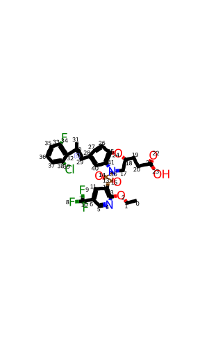 CCOc1ncc(C(F)(F)F)cc1S(=O)(=O)N1CC(CCC(=O)O)Oc2ccc(/C=C(\C)c3c(F)cccc3Cl)cc21